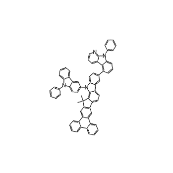 CC1(C)c2cc3c4ccccc4c4ccccc4c3cc2-c2ccc3c4cc(-c5cccc6c5c5cccnc5n6-c5ccccc5)ccc4n(-c4ccc5c(c4)c4ccccc4n5-c4ccccc4)c3c21